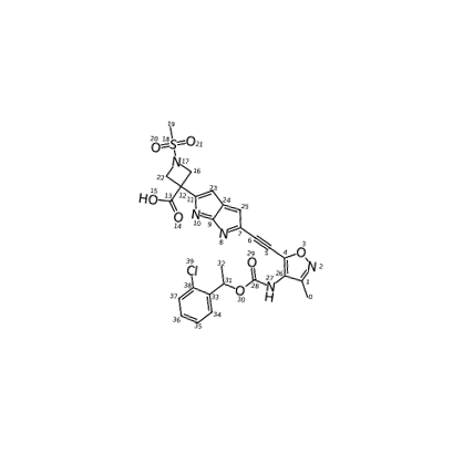 Cc1noc(C#CC2=NC3=NC(C4(C(=O)O)CN(S(C)(=O)=O)C4)=CC3=C2)c1NC(=O)OC(C)c1ccccc1Cl